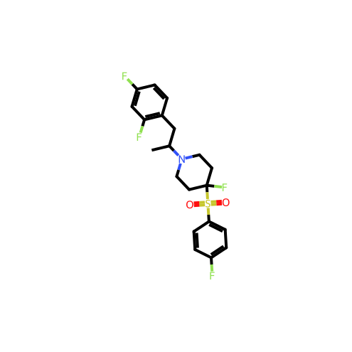 CC(Cc1ccc(F)cc1F)N1CCC(F)(S(=O)(=O)c2ccc(F)cc2)CC1